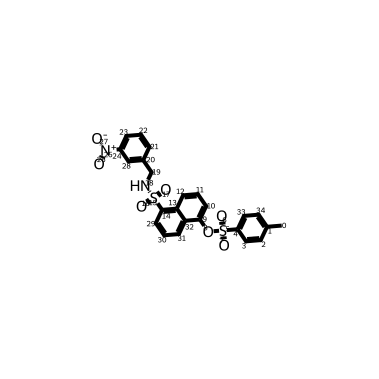 Cc1ccc(S(=O)(=O)Oc2cccc3c(S(=O)(=O)NCc4cccc([N+](=O)[O-])c4)cccc23)cc1